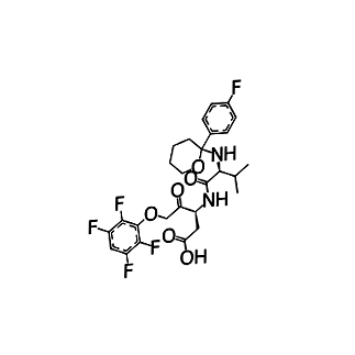 CC(C)[C@H](NC1(c2ccc(F)cc2)CCCCO1)C(=O)N[C@@H](CC(=O)O)C(=O)COc1c(F)c(F)cc(F)c1F